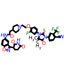 CC1(C)C(=O)N(c2ccc(C#N)c(C(F)(F)F)c2)C(=S)N1c1ccc(OCCN2CCC(CC(=O)Nc3ccc4onc(C5CCC(=O)NC5=O)c4c3)CC2)c(F)c1